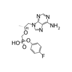 C[C@H](Cn1cnc2c(N)ncnc21)OCP(=O)(O)Oc1ccc(F)cc1